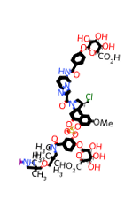 COc1ccc2c(OS(=O)(=O)Oc3cc(C(=O)N(C)CC(C)(C)COCC(C)(C)CNI)ccc3O[C@@H]3O[C@H](C(=O)O)[C@@H](O)[C@H](O)[C@H]3O)cc3c(c2c1)[C@H](CCl)CN3C(=O)c1cn2cc(NC(=O)c3ccc(O[C@@H]4O[C@H](C(=O)O)[C@@H](O)[C@H](O)[C@H]4O)cc3)ccc2n1